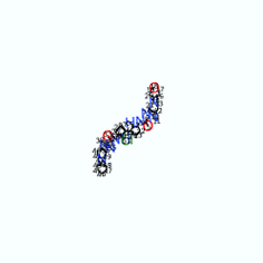 Cc1c(NC(=O)c2nc3c(n2C)CCN(C2CCOCC2)C3)cccc1-c1cccc(NC(=O)c2nc3c(n2C)CCN(C2CCCCC2)C3)c1Cl